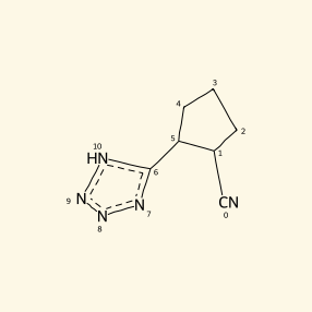 N#CC1CCCC1c1nnn[nH]1